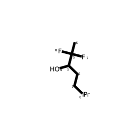 CC(C)CCC(O)C(C)(F)F